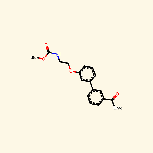 COC(=O)c1cccc(-c2cccc(OCCNC(=O)OC(C)(C)C)c2)c1